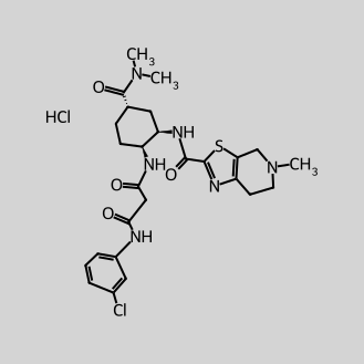 CN1CCc2nc(C(=O)N[C@@H]3C[C@@H](C(=O)N(C)C)CC[C@@H]3NC(=O)CC(=O)Nc3cccc(Cl)c3)sc2C1.Cl